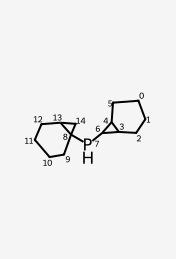 C1CCC2C(C1)C2PC12CCCCC1C2